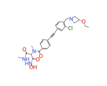 CCOC1CN(Cc2ccc(C#Cc3ccc(C(=O)N(C)C(C(=O)NC)C(=O)NO)cc3)cc2Cl)C1